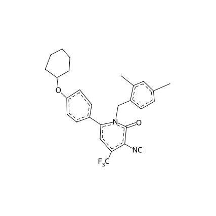 [C-]#[N+]c1c(C(F)(F)F)cc(-c2ccc(OC3CCCCC3)cc2)n(Cc2ccc(C)cc2C)c1=O